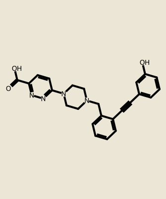 O=C(O)c1ccc(N2CCN(Cc3ccccc3C#Cc3cccc(O)c3)CC2)nn1